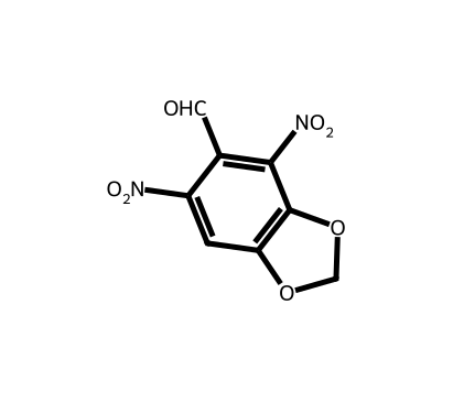 O=Cc1c([N+](=O)[O-])cc2c(c1[N+](=O)[O-])OCO2